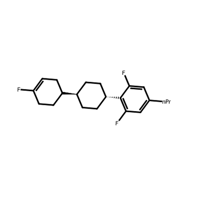 CCCc1cc(F)c([C@H]2CC[C@H](C3CC=C(F)CC3)CC2)c(F)c1